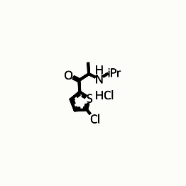 CC(C)NC(C)C(=O)c1ccc(Cl)s1.Cl